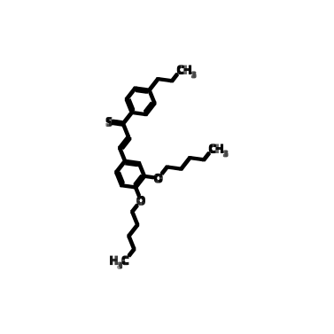 CCCCCOc1ccc(C=CC(=S)c2ccc(CCC)cc2)cc1OCCCCC